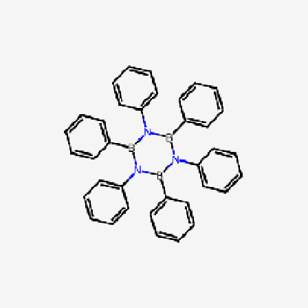 c1ccc(B2N(c3ccccc3)B(c3ccccc3)N(c3ccccc3)B(c3ccccc3)N2c2ccccc2)cc1